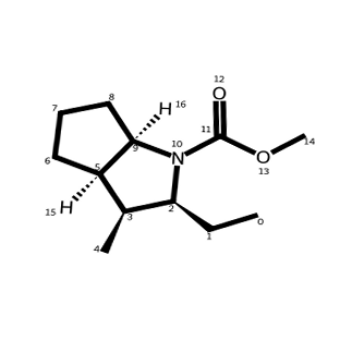 CC[C@H]1[C@@H](C)[C@H]2CCC[C@H]2N1C(=O)OC